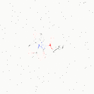 CCC(C)(C)C(=O)NC1C2CC3(C(=O)OCC(F)(F)F)C(=O)OC1C3O2